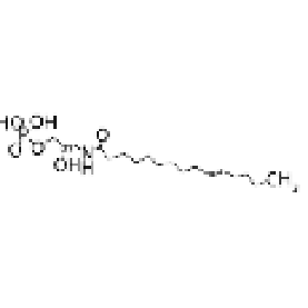 CCCCC=CCCCCCCCCC(=O)NC[C@H](O)COP(=O)(O)O